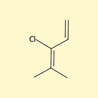 C=CC(Cl)=C(C)C